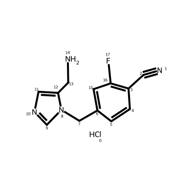 Cl.N#Cc1ccc(Cn2cncc2CN)cc1F